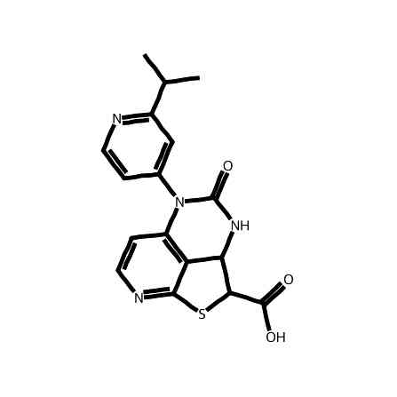 CC(C)c1cc(N2C(=O)NC3c4c2ccnc4SC3C(=O)O)ccn1